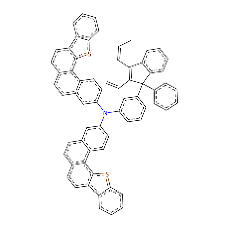 C=CC1=C(/C=C\C)c2ccccc2C1(c1ccccc1)c1cccc(N(c2ccc3c(ccc4ccc5c6ccccc6sc5c43)c2)c2ccc3c(ccc4ccc5c6ccccc6sc5c43)c2)c1